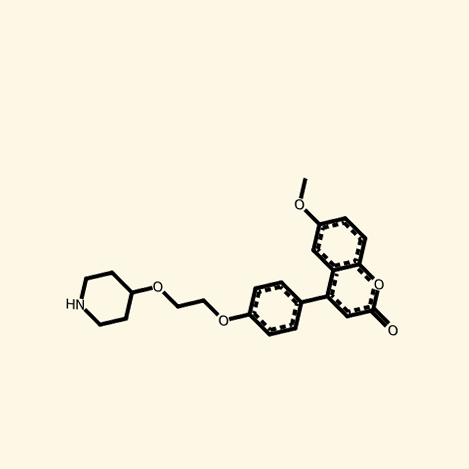 COc1ccc2oc(=O)cc(-c3ccc(OCCOC4CCNCC4)cc3)c2c1